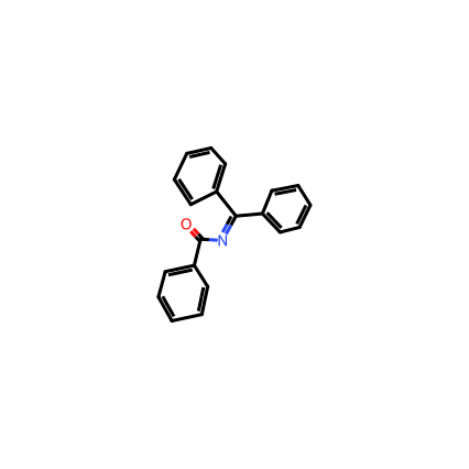 O=C(N=C(c1ccccc1)c1ccccc1)c1ccccc1